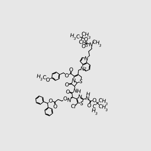 COc1ccc(COC(=O)C2=C(C[n+]3cccc4c3ccn4CCCN(C)C(=O)OC(C)(C)C)CSC3C(NC(=O)/C(=N\OCCC(=O)OC(c4ccccc4)c4ccccc4)c4nc(NC(=O)OC(C)(C)C)sc4Cl)C(=O)N23)cc1